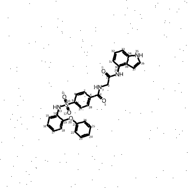 O=C(CNC(=O)c1ccc(S(=O)(=O)Nc2ccccc2Oc2ccccc2)cc1)Nc1cccc2[nH]ccc12